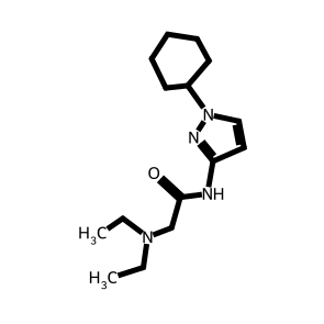 CCN(CC)CC(=O)Nc1ccn(C2CCCCC2)n1